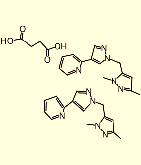 Cc1cc(Cn2cc(-c3ccccn3)cn2)n(C)n1.Cc1cc(Cn2cc(-c3ccccn3)cn2)n(C)n1.O=C(O)CCC(=O)O